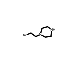 CC(=O)[CH]CN1CCNCC1